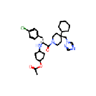 CC(=O)OC1CCC(N[C@H](Cc2ccc(Cl)cc2)C(=O)N2CCC(Cn3cncn3)(C3CCCCC3)CC2)CC1